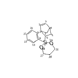 C1=CC2CC1CC2[Si]1(c2ccccc2)OCCCO1